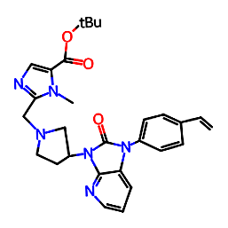 C=Cc1ccc(-n2c(=O)n(C3CCN(Cc4ncc(C(=O)OC(C)(C)C)n4C)C3)c3ncccc32)cc1